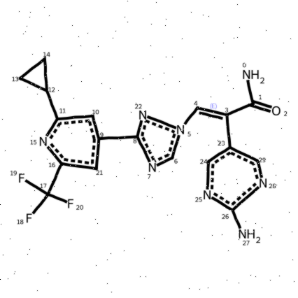 NC(=O)/C(=C/n1cnc(-c2cc(C3CC3)nc(C(F)(F)F)c2)n1)c1cnc(N)nc1